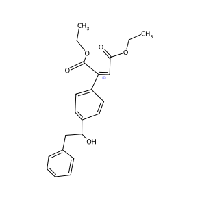 CCOC(=O)/C=C(\C(=O)OCC)c1ccc(C(O)Cc2ccccc2)cc1